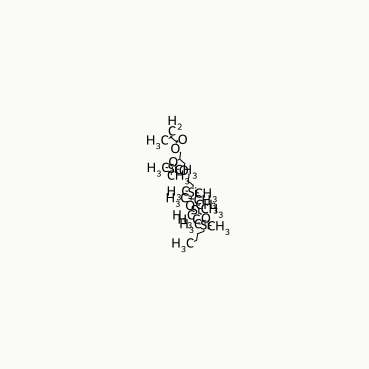 C=C(C)C(=O)OCC(COCCC[Si](C)(C)C(C)(C)O[Si](C)(C)C(C)(C)O[Si](C)(C)CCCC)O[Si](C)(C)C